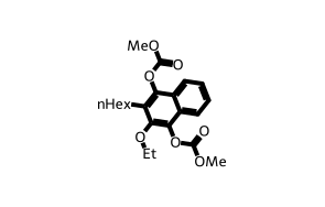 CCCCCCc1c(OCC)c(OC(=O)OC)c2ccccc2c1OC(=O)OC